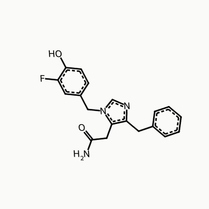 NC(=O)Cc1c(Cc2ccccc2)ncn1Cc1ccc(O)c(F)c1